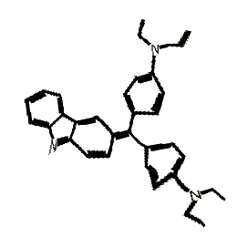 CCN(CC)c1ccc(C(c2ccc(N(CC)CC)cc2)=c2ccc3c(c2)-c2ccccc2N=3)cc1